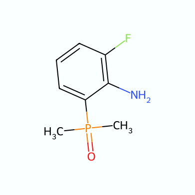 CP(C)(=O)c1cccc(F)c1N